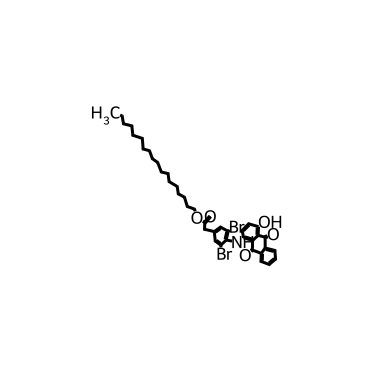 CCCCCCCCCCCCCCCCCCOC(=O)Cc1cc(Br)c(Nc2ccc(O)c3c2C(=O)c2ccccc2C3=O)c(Br)c1